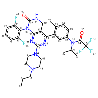 CCCN1CCN(c2nc(-c3cc(N(C(=O)C(F)(F)F)C(C)C)ccc3C)c3c(n2)N(c2c(F)cccc2F)C(=O)NC3)CC1